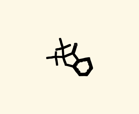 CC(C)(C)C1(C(C)(C)C)Cc2ccccc2C1=O